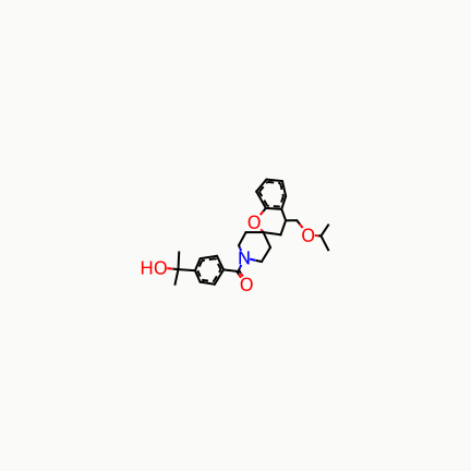 CC(C)OCC1CC2(CCN(C(=O)c3ccc(C(C)(C)O)cc3)CC2)Oc2ccccc21